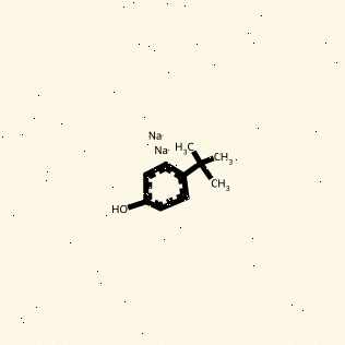 CC(C)(C)c1ccc(O)cc1.[Na].[Na]